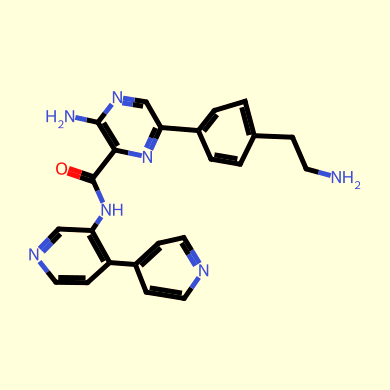 NCCc1ccc(-c2cnc(N)c(C(=O)Nc3cnccc3-c3ccncc3)n2)cc1